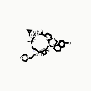 C[C@@H]1C/C=C/[C@H](OCCN2CCOCC2)[C@@H]2CC[C@H]2CN2C[C@@]3(CCCc4cc(Cl)ccc43)COc3ccc(cc32)C(=O)NS(=O)(=O)[C@H]1CC1CC1